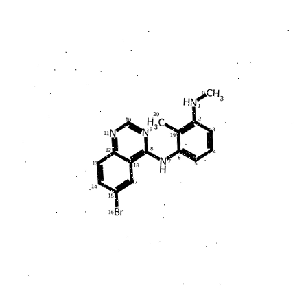 CNc1cccc(Nc2ncnc3ccc(Br)cc23)c1C